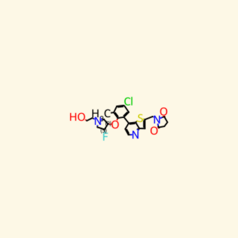 Cc1cc(Cl)cc(-c2ccnc3cc(CN4C(=O)CCC4=O)sc23)c1O[C@@H]1CN(CCO)C[C@@H]1F